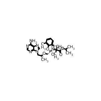 Cc1cccc(C)c1O[P@@](=O)(CO[C@H](C)Cn1cnc2c(N)ncnc21)NC(C)(C)C(=O)OC(C)C